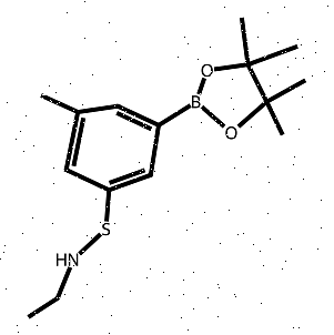 CCNSc1cc(C)cc(B2OC(C)(C)C(C)(C)O2)c1